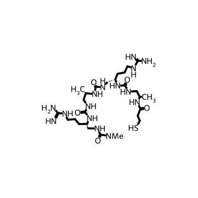 CNC(=O)NC[C@H](CCCNC(=N)N)NC(=O)NC[C@H](C)NC(=O)NC[C@H](CCCNC(=N)N)NC(=O)NCC(C)NC(=O)CCS